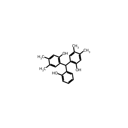 Cc1cc(O)c(C(c2ccccc2O)c2cc(C)c(C)cc2O)cc1C